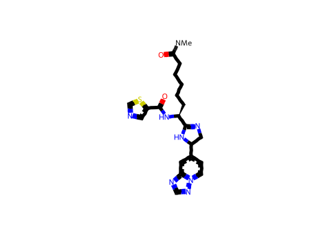 CNC(=O)CCCCC[C@H](NC(=O)c1cncs1)C1=NCC(c2ccn3ncnc3c2)N1